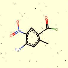 Cc1cc(N)c([N+](=O)[O-])cc1C(=O)Cl